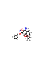 CN(C)[C@@H]1c2onc(OCc3ccccc3)c2C(=O)[C@@]2(O[Si](C)(C)C(C)(C)C)C(=O)C=CCC12